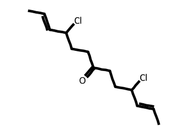 CC=CC(Cl)CCC(=O)CCC(Cl)C=CC